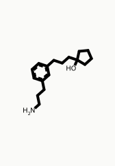 NCCCc1cccc(CCCC2(O)CCCC2)c1